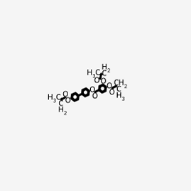 C=C(C)C(=O)Oc1ccc(-c2ccc(OC(=O)c3ccc(OC(=O)C(=C)C)c(OC(=O)C(=C)C)c3)cc2)cc1